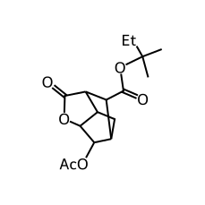 [CH2]C(=O)OC1C2CC3C1OC(=O)C3C2C(=O)OC(C)(C)CC